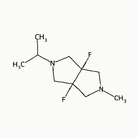 CC(C)N1CC2(F)CN(C)CC2(F)C1